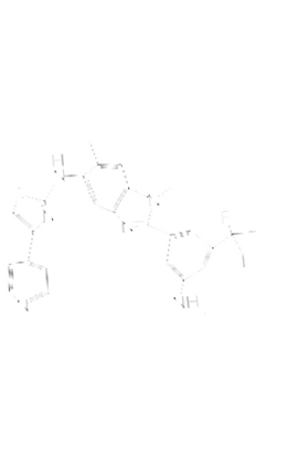 Cc1cc2c(cc1Nc1nc(-c3ccncc3)cs1)nc(-c1cc(N)cc(C(F)(F)F)c1)n2C